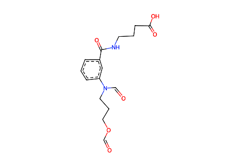 O=COCCCN(C=O)c1cccc(C(=O)NCCCC(=O)O)c1